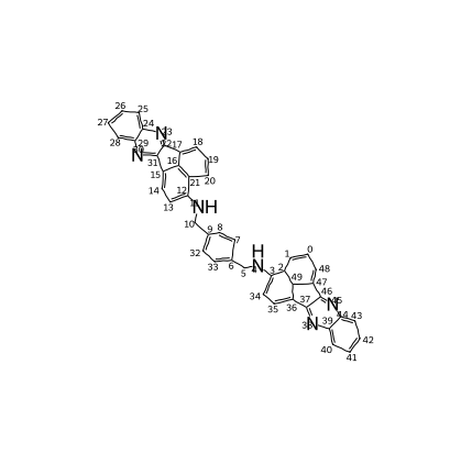 C1=CC2C(NCc3ccc(CNc4ccc5c6c(cccc46)-c4nc6ccccc6nc4-5)cc3)=CC=C3c4nc5ccccc5nc4C(=C1)C32